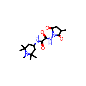 CC1CC(=O)N(NC(=O)C(=O)NC2CC(C)(C)N(C)C(C)(C)C2)C1=O